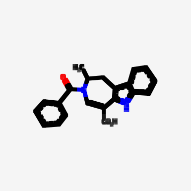 CC1Cc2c([nH]c3ccccc23)C(C(=O)O)=CN1C(=O)c1ccccc1